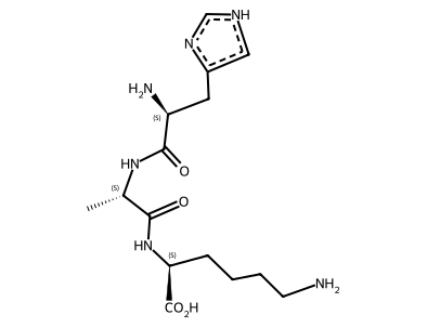 C[C@H](NC(=O)[C@@H](N)Cc1c[nH]cn1)C(=O)N[C@@H](CCCCN)C(=O)O